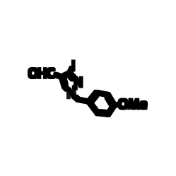 COc1ccc(Cn2cc(C=O)c(I)n2)cc1